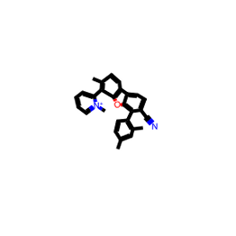 Cc1ccc(-c2c(C#N)ccc3c2oc2c(-c4cccc[n+]4C)c(C)ccc23)c(C)c1